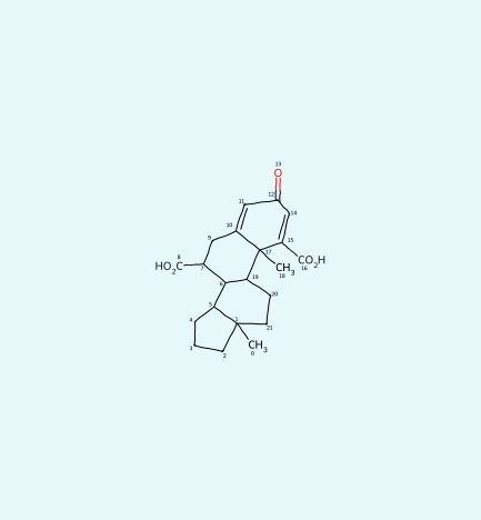 CC12CCCC1C1C(C(=O)O)CC3=CC(=O)C=C(C(=O)O)C3(C)C1CC2